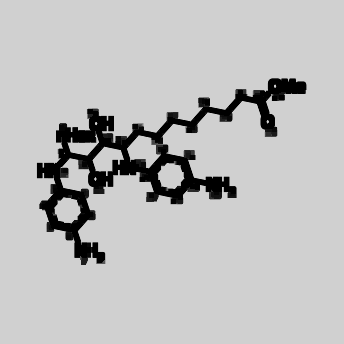 CCCCCCC(Nc1ccc(N)cc1)C(O)C(O)C(CCCCCCCC(=O)OC)Nc1ccc(N)cc1